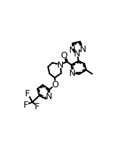 Cc1cnc(C(=O)N2CCCC(Oc3ccc(C(F)(F)F)cn3)C2)c(-n2nccn2)c1